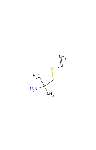 C=CSCC(C)(C)N